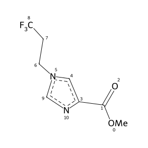 COC(=O)c1cn(CCC(F)(F)F)cn1